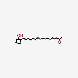 CC(=O)CCCCCCCCCCCCCC=Cc1ccccc1O